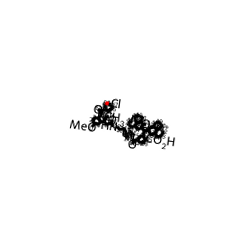 COc1ccc2c(c1)c(CC(=O)NCCCN1CCN(C(=O)c3ccc(C(=O)O)c(C4=c5cc6c7c(c5Oc5c4cc4c8c5CCCN8CCC4)CCC[N+]=7CCC6)c3)CC1)c(C)n2C(=O)c1ccc(Cl)cc1